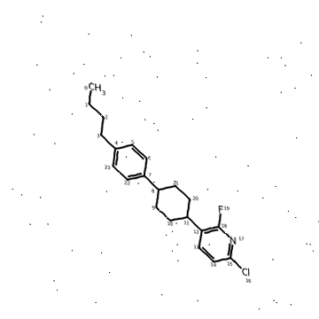 CCCCc1ccc(C2CCC(c3ccc(Cl)nc3F)CC2)cc1